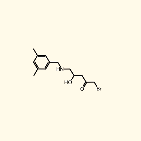 Cc1cc(C)cc(CNCC(O)CC(=O)CBr)c1